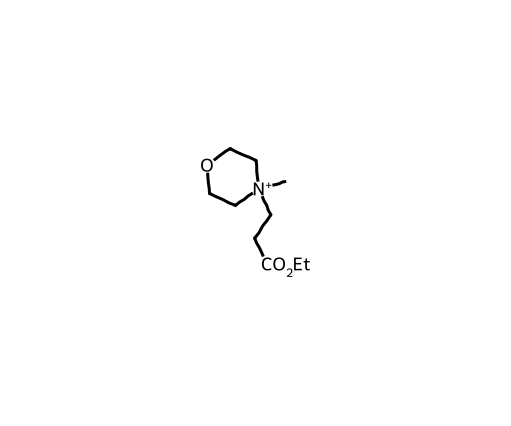 CCOC(=O)CC[N+]1(C)CCOCC1